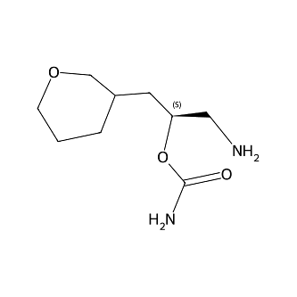 NC[C@H](CC1CCCOC1)OC(N)=O